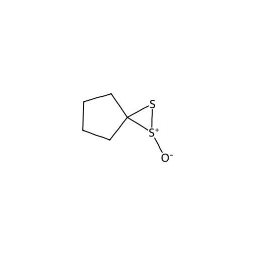 [O-][S+]1SC12CCCC2